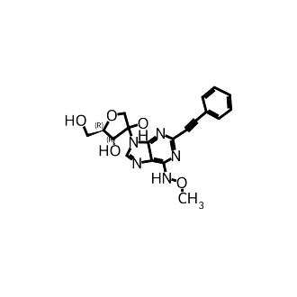 CONc1nc(C#Cc2ccccc2)nc2c1ncn2C1(O)CO[C@H](CO)[C@H]1O